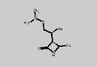 CC(=O)OC1NC(=O)[C@H]1[C@@H](CO[SiH](C)C)C(C)(C)C